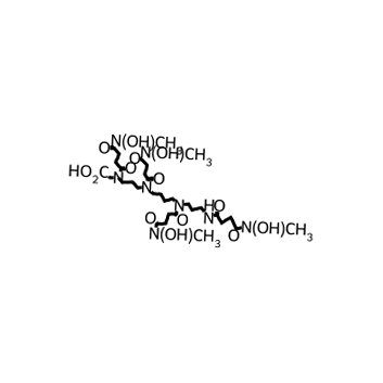 CN(O)C(=O)CCC(=O)NCCCN(CCCCN(CCCN(CC(=O)O)C(=O)CCC(=O)N(C)O)C(=O)CCC(=O)N(C)O)C(=O)CCC(=O)N(C)O